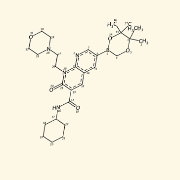 CC1(C)OCB(c2cnc3c(c2)cc(C(=O)NC2CCCCC2)c(=O)n3CCN2CCOCC2)OC1(C)C